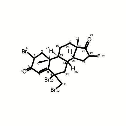 C[C@]12CC(Br)C(=O)C=C1C(Br)(CBr)C[C@@H]1[C@@H]2CC[C@]2(C)C(=O)C(F)C[C@@H]12